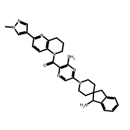 Cn1cc(-c2ccc3c(n2)CCCN3C(=O)c2ncc(N3CCC4(CC3)Cc3ccccc3C4N)nc2N)cn1